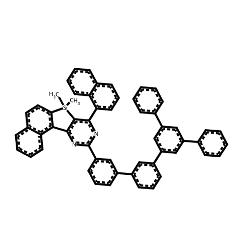 C[Si]1(C)c2ccc3ccccc3c2-c2nc(-c3cccc(-c4cccc(-c5cc(-c6ccccc6)cc(-c6ccccc6)c5)c4)c3)nc(-c3cccc4ccccc34)c21